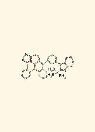 BC(B)(B)c1nc2ccccc2n1-c1cccc(-c2c3ccccc3c(-c3ccccc3-c3ccncc3)c3ccccc23)c1